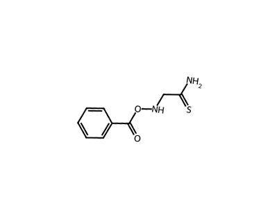 NC(=S)CNOC(=O)c1ccccc1